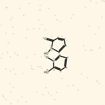 O=c1ccccn1O.[O-][n+]1ccccc1O